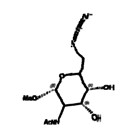 CO[C@@H]1OC(CN=[N+]=[N-])[C@H](O)[C@H](O)C1NC(C)=O